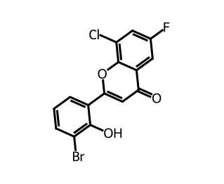 O=c1cc(-c2cccc(Br)c2O)oc2c(Cl)cc(F)cc12